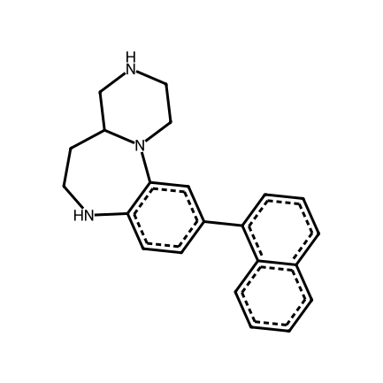 c1ccc2c(-c3ccc4c(c3)N3CCNCC3CCN4)cccc2c1